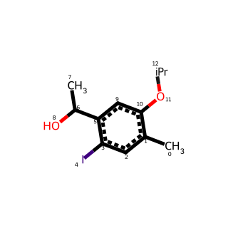 Cc1cc(I)c(C(C)O)cc1OC(C)C